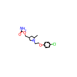 CC1CC(COC(N)=O)CN1CCOc1ccc(Cl)cc1